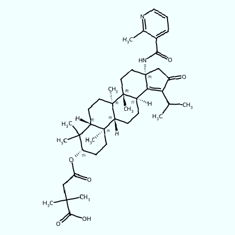 Cc1ncccc1C(=O)N[C@@]12CC[C@]3(C)[C@H](CC[C@@H]4[C@@]5(C)CC[C@H](OC(=O)CC(C)(C)C(=O)O)C(C)(C)[C@@H]5CC[C@]43C)C1=C(C(C)C)C(=O)C2